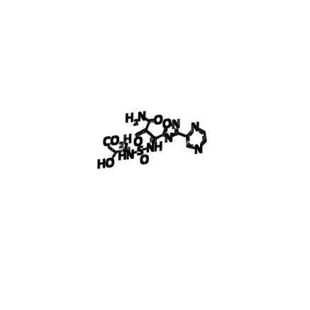 C=C(C(N)=O)[C@H](NS(=O)(=O)N[C@H](C(=O)O)C(C)O)c1nc(-c2cnccn2)no1